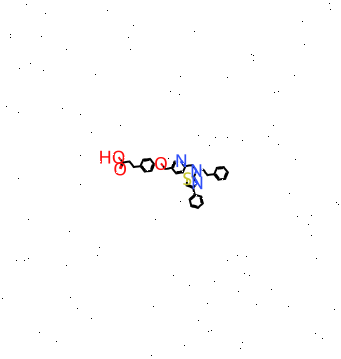 O=C(O)CCc1ccc(OCc2ccc(CN(CCc3ccccc3)c3nc(-c4ccccc4)cs3)nc2)cc1